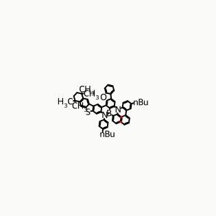 CCCCc1ccc(N2B3c4ccccc4N(c4ccc(CCCC)cc4-c4ccccc4)c4cc5c(oc6ccccc65)c(c43)-c3cc4c(cc32)sc2cc3c(cc24)C(C)(C)CCC3(C)C)cc1